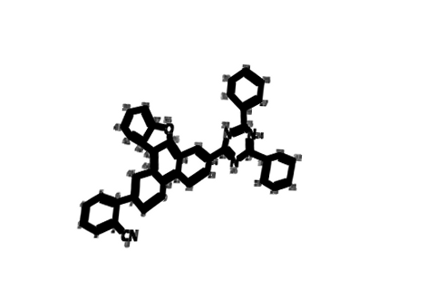 N#Cc1ccccc1-c1ccc2c3ccc(-c4nc(-c5ccccc5)nc(-c5ccccc5)n4)cc3c3oc4ccccc4c3c2c1